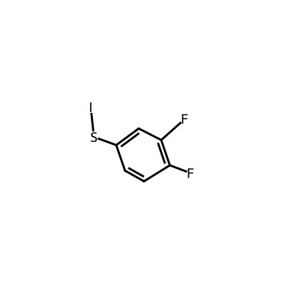 Fc1ccc(SI)cc1F